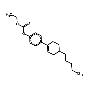 CCCCCC1CC=C(c2ccc(OC(=O)OCC)cc2)CC1